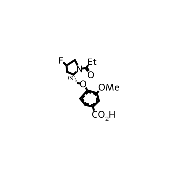 CCC(=O)N1CC(F)C[C@H]1COc1ccc(C(=O)O)cc1OC